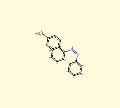 O=S(=O)(O)c1ccc2c(/N=N\c3ccccc3)cccc2c1